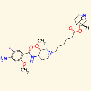 COc1cc(N)c(I)cc1C(=O)N[C@@H]1CCN(CCCCCC(=O)O[C@H]2CN3CCC2CC3)C[C@@H]1OC